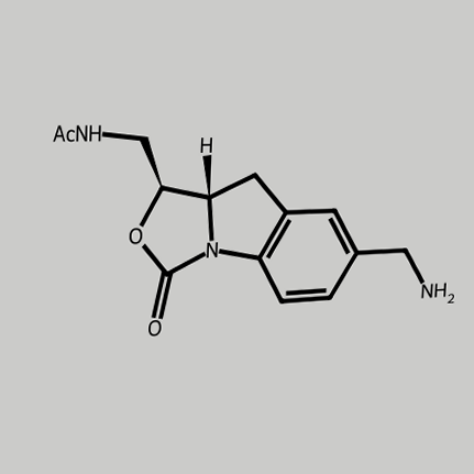 CC(=O)NC[C@@H]1OC(=O)N2c3ccc(CN)cc3C[C@@H]12